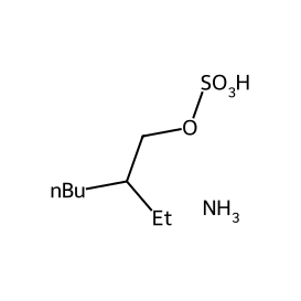 CCCCC(CC)COS(=O)(=O)O.N